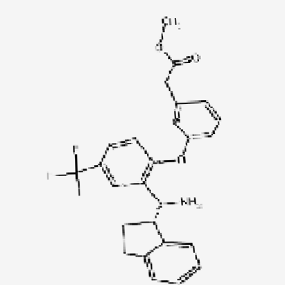 COC(=O)Cc1cccc(Oc2ccc(C(F)(F)F)cc2C(N)[C@H]2CCc3ccccc32)c1